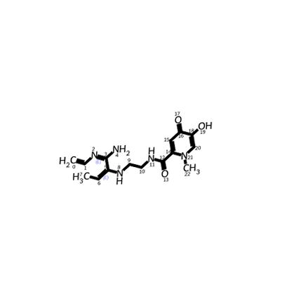 C=C/N=C(N)\C(=C/C)NCCNC(=O)c1cc(=O)c(O)cn1C